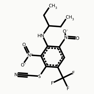 CCC(CC)Nc1c([N+](=O)[O-])cc(C(F)(F)F)c(SC#N)c1[N+](=O)[O-]